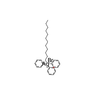 CCCCCCCCCCC[CH2][Ag]([Br])([c]1ccccc1)([c]1ccccc1)[c]1ccccc1